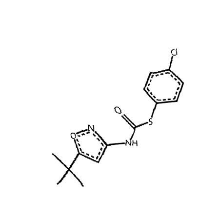 CC(C)(C)c1cc(NC(=O)Sc2ccc(Cl)cc2)no1